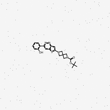 CC(C)(C)OC(=O)N1CC2(C1)CN(c1cc3nnc(-c4ccccc4O)cc3s1)C2